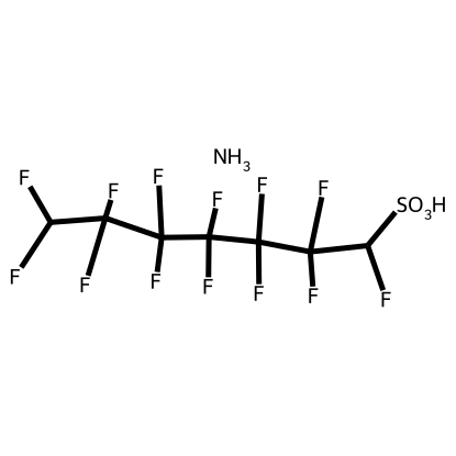 N.O=S(=O)(O)C(F)C(F)(F)C(F)(F)C(F)(F)C(F)(F)C(F)(F)C(F)F